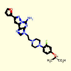 C[C@H](Oc1ccc(N2CCN(CCn3cnc4c3nc(N)n3nc(-c5ccco5)cc43)CC2)c(F)c1)C(=O)O